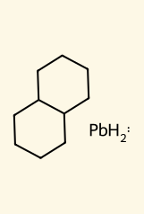 C1CCC2CCCCC2C1.[PbH2]